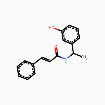 CC(NC(=O)C=Cc1ccccc1)c1cccc(O)c1